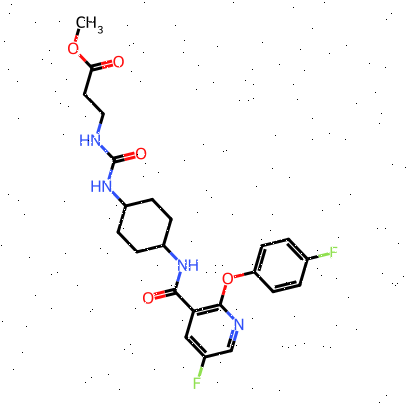 COC(=O)CCNC(=O)NC1CCC(NC(=O)c2cc(F)cnc2Oc2ccc(F)cc2)CC1